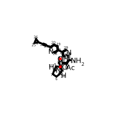 CC(=O)c1c([C@H]2C[C@H]3CC[C@@H](C2)N3C(=O)CO)nc2c(-c3ccc(C#CC4CC4)nc3)cnn2c1N